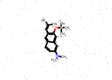 CN(C)c1ccc2cc(C=C(C#N)C#N)c(O[Si](C)(C)C(C)(C)C)cc2c1